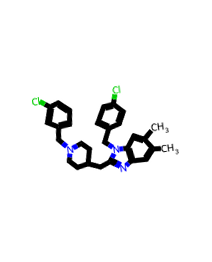 Cc1cc2nc(CC3CCN(Cc4cccc(Cl)c4)CC3)n(Cc3ccc(Cl)cc3)c2cc1C